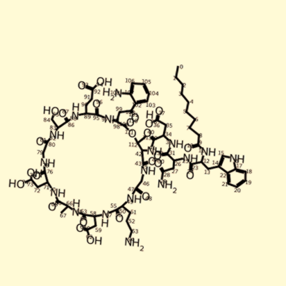 CCCCCCCCCC(=O)NC(Cc1c[nH]c2ccccc12)C(=O)NC(CC(N)=O)C(=O)NC(CC(=O)O)C(=O)NC1C(=O)NCC(=O)NC(CCCN)C(=O)NC(CC(=O)O)C(=O)NC(C)C(=O)NC(CC(O)O)C(=O)NCC(=O)NC(CO)C(=O)NC(CCC(=O)O)C(=O)NC(CC(=O)c2ccccc2N)C(=O)OC1C